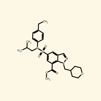 CCc1ccc(N(CC(C)C)S(=O)(=O)c2cc(C(=O)OC)c3c(cnn3CC3CCOCC3)c2)cc1